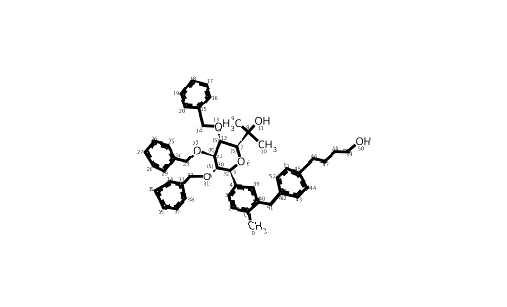 Cc1ccc([C@@H]2O[C@H](C(C)(C)O)[C@@H](OCc3ccccc3)[C@H](OCc3ccccc3)[C@H]2OCc2ccccc2)cc1Cc1ccc(CCCCO)cc1